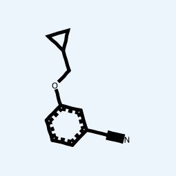 N#Cc1cccc(OCC2CC2)c1